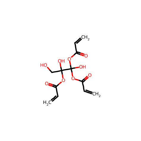 C=CC(=O)OC(O)(CO)C(O)(OC(=O)C=C)OC(=O)C=C